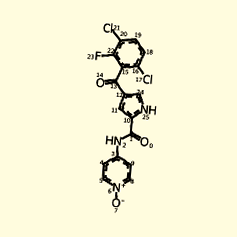 O=C(Nc1cc[n+]([O-])cc1)c1cc(C(=O)c2c(Cl)ccc(Cl)c2F)c[nH]1